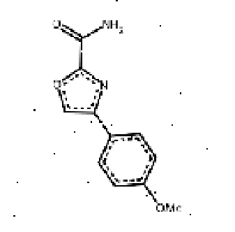 COc1ccc(-c2coc(C(N)=O)n2)cc1